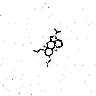 CCCN1C[C@H](CSC)C[C@@H]2c3cccc4c3c(cn4C(C)C)C[C@H]21